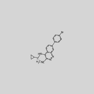 C[C@@H](Nc1c(C#N)nnc2cc(-c3ccc(Br)cc3)ccc12)C1CC1